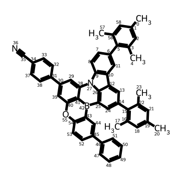 Cc1cc(C)c(-c2ccc3c(c2)c2cc(-c4c(C)cc(C)cc4C)cc4c2n3-c2cc(-c3ccc(C#N)cc3)cc3c2B4c2cc(-c4ccccc4)ccc2O3)c(C)c1